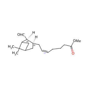 COC(=O)CCC/C=C\C[C@H]1CC2CC([C@H]1C=O)C2(C)C